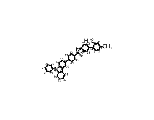 Cc1ccc(-c2ccc3nc(-c4ccc(-c5ccc6c(c5)c5c(n6-c6ccccc6)CCC=C5)cc4)oc3c2)c(C)c1